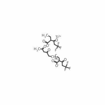 CCC(=O)CC(C)=O.CCC(C(=O)[O-])C(=O)CC(F)(F)F.CCC(C(=O)[O-])C(=O)CC(F)(F)F.[Ti+2]